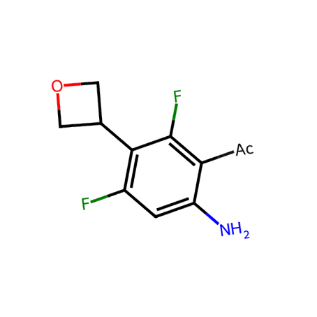 CC(=O)c1c(N)cc(F)c(C2COC2)c1F